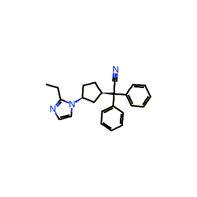 CCc1nccn1[C@H]1CC[C@@H](C(C#N)(c2ccccc2)c2ccccc2)C1